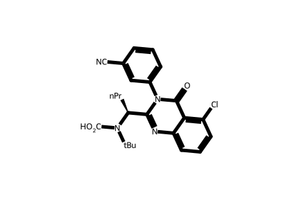 CCC[C@@H](c1nc2cccc(Cl)c2c(=O)n1-c1cccc(C#N)c1)N(C(=O)O)C(C)(C)C